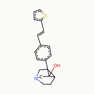 OC1(c2ccc(C=Cc3cccs3)cc2)CN2CCC1CC2